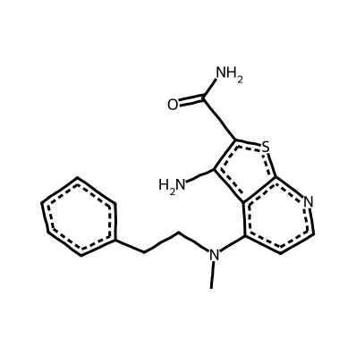 CN(CCc1ccccc1)c1ccnc2sc(C(N)=O)c(N)c12